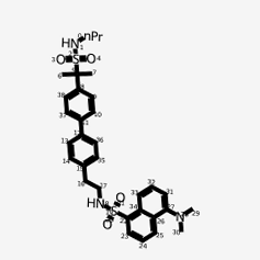 CCCNS(=O)(=O)C(C)(C)c1ccc(-c2ccc(CCNS(=O)(=O)c3cccc4c(N(C)C)cccc34)cc2)cc1